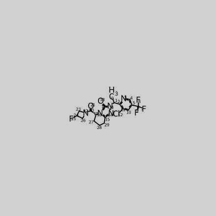 CC(c1ncc(C(F)(F)F)cc1Cl)n1nc2n(c1=O)[C@H](C(=O)N1CC(F)C1)CCC2